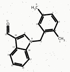 Cc1ccc(C)c(Cn2cc(C=O)c3ccccc32)c1